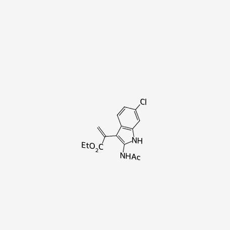 C=C(C(=O)OCC)c1c(NC(C)=O)[nH]c2cc(Cl)ccc12